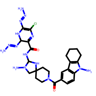 NN=NC1=C(Cl)N=C(C(=O)NC2NC3(CCN(C(=O)c4ccc5c(c4)c4c(n5N)CCCC4)CC3)CN2N)C(N=NN)N1